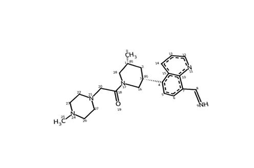 C[C@@H]1C[C@H](c2ccc(C=N)c3ncccc23)CN(C(=O)CN2CCN(C)CC2)C1